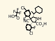 CC(C1CCCCC1)[C@@H]1N[C@@H](C(=O)O)[C@H](c2cccc(Cl)c2F)[C@@]1(C#N)c1ccc(Cl)cc1F.O=C(O)C(F)(F)F